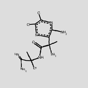 CCC(C)(NC(=O)C(C)(P)c1nc(Cl)c(Cl)nc1N)C(=N)N